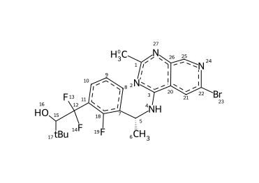 Cc1nc(N[C@H](C)c2cccc(C(F)(F)C(O)C(C)(C)C)c2F)c2cc(Br)ncc2n1